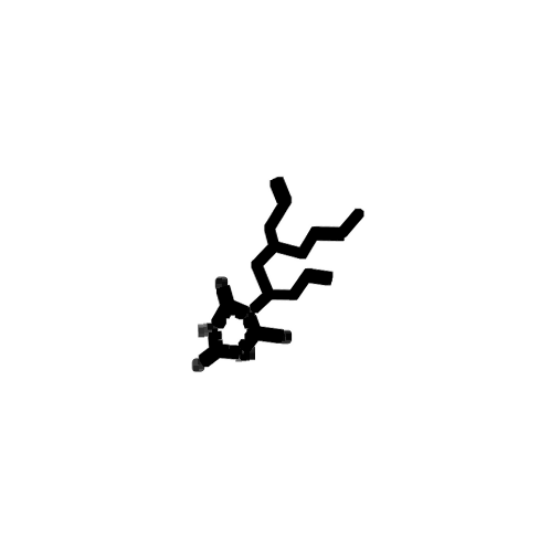 C=CCC(CC=CC)CC(CC=C)n1c(=O)[nH]c(=O)[nH]c1=O